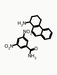 NC(=O)c1cc([N+](=O)[O-])cc([N+](=O)[O-])c1.NC1CCCc2c1ccc1ccccc21